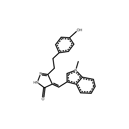 Cn1cc(C=C2C(=O)NN=C2CCc2ccc(O)cc2)c2ccccc21